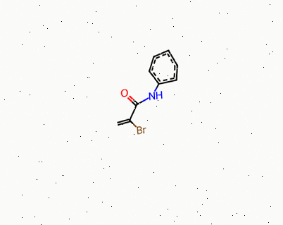 C=C(Br)C(=O)Nc1ccccc1